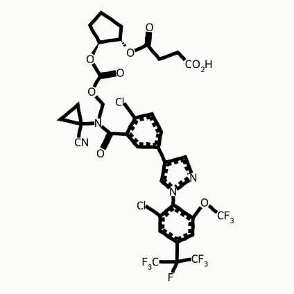 N#CC1(N(COC(=O)O[C@H]2CCC[C@@H]2OC(=O)CCC(=O)O)C(=O)c2cc(-c3cnn(-c4c(Cl)cc(C(F)(C(F)(F)F)C(F)(F)F)cc4OC(F)(F)F)c3)ccc2Cl)CC1